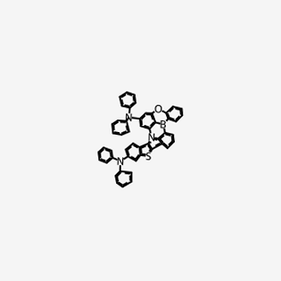 c1ccc(N(c2ccccc2)c2cc3c4c(c2)-n2c5c(cccc5c5sc6cc(N(c7ccccc7)c7ccccc7)ccc6c52)B4c2ccccc2O3)cc1